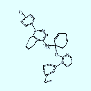 CNc1nccc(-c2cccnc2OC2(Nc3nnc(-c4ccc(Cl)cc4)c4c3CCCC4)C=CC=CC2)n1